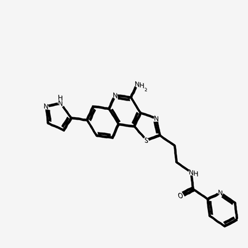 Nc1nc2cc(-c3ccn[nH]3)ccc2c2sc(CCNC(=O)c3ccccn3)nc12